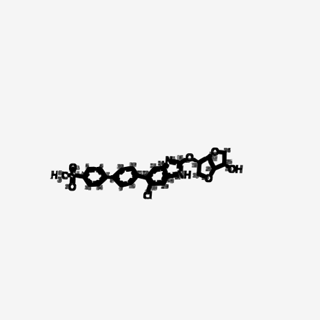 CS(=O)(=O)c1ccc(-c2ccc(-c3cc4nc(O[C@@H]5COC6C5OC[C@H]6O)[nH]c4cc3Cl)cc2)cc1